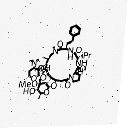 CO[C@]1(C)C[C@H](O[C@H]2[C@H](C)[C@@H](O[C@@H]3O[C@H](C)C[C@H](N(C)C)[C@H]3O)[C@](C)(O)C[C@@H](C)CN(C)C(=O)[C@@H](CCc3ccccc3)NC(=O)[C@@H](C(C)C)NC(=O)[C@@H]3CCCN3C(=O)[C@@H]2C)O[C@@H](C)[C@@H]1O